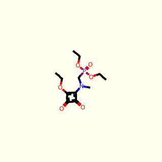 CCOc1c(N(C)CP(=O)(OCC)OCC)c(=O)c1=O